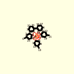 Cc1ccc(OP(=O)(Oc2ccc(C)cc2)Oc2ccc(C)cc2)cc1.c1ccc(-c2ccccc2)cc1